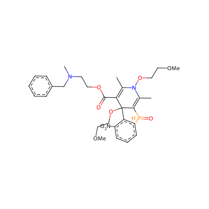 COCCON1C(C)=C([PH2]=O)C(OCCOC)(c2ccccc2[N+](=O)[O-])C(C(=O)OCCN(C)Cc2ccccc2)=C1C